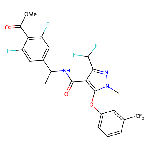 COC(=O)c1c(F)cc(C(C)NC(=O)c2c(C(F)F)nn(C)c2Oc2cccc(C(F)(F)F)c2)cc1F